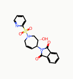 O=C1c2ccccc2C(=O)N1[C@H]1C=CCN(S(=O)(=O)c2ccccn2)C[C@@H]1O